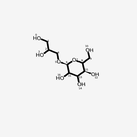 OCC(O)CO[C@H]1OC(CO)[C@@H](O)C(O)C1O